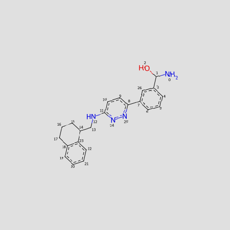 NC(O)c1cccc(-c2ccc(NCC3CCCc4ccccc43)nn2)c1